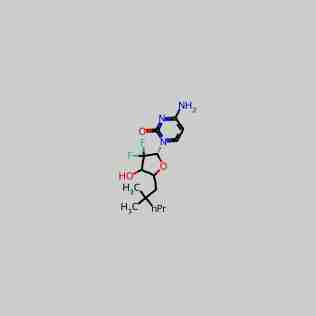 CCCC(C)(C)CC1O[C@@H](n2ccc(N)nc2=O)C(F)(F)C1O